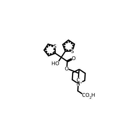 O=C(O)C[N+]12CCC(CC1)C(OC(=O)C(O)(c1cccs1)c1cccs1)C2